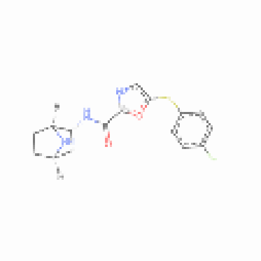 O=C(N[C@@H]1C[C@H]2CC[C@@H]1N2)c1ncc(Sc2ccc(F)cc2)o1